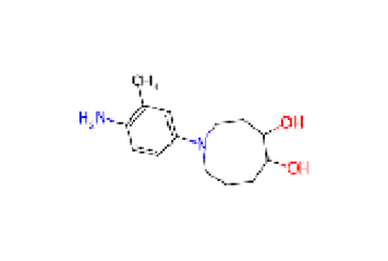 Cc1cc(N2CCCC(O)C(O)CC2)ccc1N